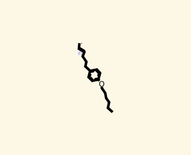 [CH2]/C=C/CCCc1ccc(OCCCCCC)cc1